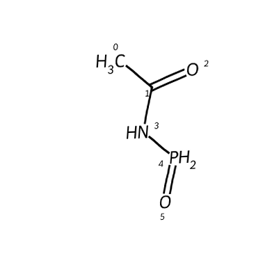 CC(=O)N[PH2]=O